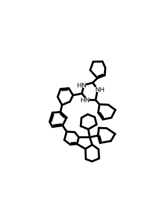 C1=CC(C2NC(C3=CCCCC3)NC(C3C=CCC(c4cccc(C5CC=C6C7CCCCC7C(C7=CCCCC7)(C7CCCCC7)C6C5)c4)C3)N2)CCC1